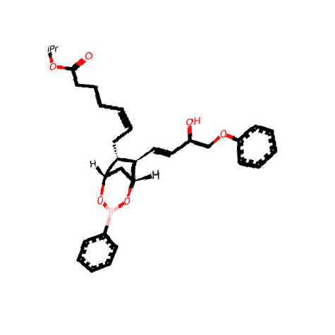 CC(C)OC(=O)CCC/C=C\C[C@@H]1[C@@H](/C=C/C(O)COc2ccccc2)[C@H]2C[C@@H]1OB(c1ccccc1)O2